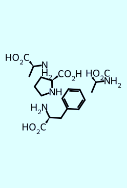 C[C@H](N)C(=O)O.C[C@H](N)C(=O)O.N[C@@H](Cc1ccccc1)C(=O)O.O=C(O)[C@@H]1CCCN1